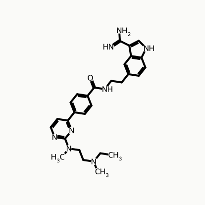 CCN(C)CCN(C)c1nccc(-c2ccc(C(=O)NCCc3ccc4[nH]cc(C(=N)N)c4c3)cc2)n1